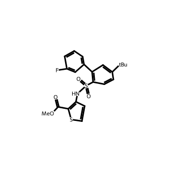 COC(=O)c1sccc1NS(=O)(=O)c1ccc(C(C)(C)C)cc1-c1cccc(F)c1